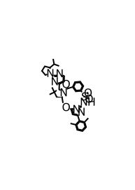 Cc1cccc(C)c1-c1cc2nc(n1)NS(=O)(=O)c1cccc(c1)C(=O)N(Cc1ccnc(N3CCCC3C(C)C)n1)[C@H](CC(C)(C)C)CO2